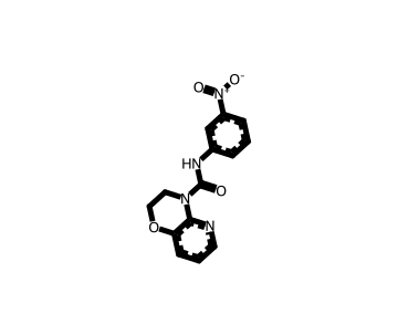 O=C(Nc1cccc([N+](=O)[O-])c1)N1CCOc2cccnc21